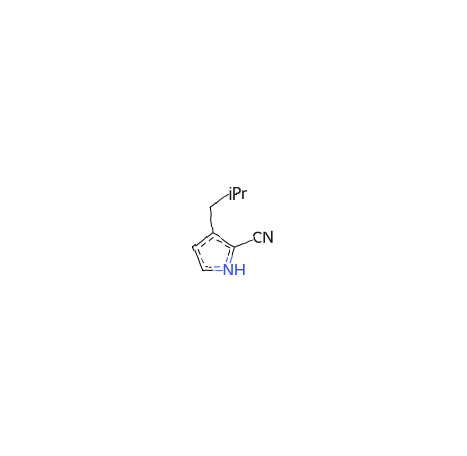 CC(C)Cc1cc[nH]c1C#N